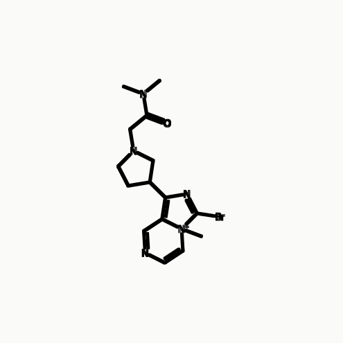 CN(C)C(=O)CN1CCC(C2=C3C=NC=C[N+]3(C)C(Br)=N2)C1